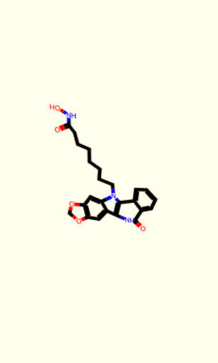 O=C(CCCCCCCn1c2cc3c(cc2c2[nH]c(=O)c4ccccc4c21)OCO3)NO